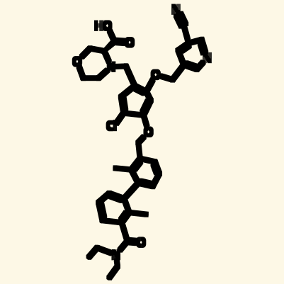 CCN(CC)C(=O)c1cccc(-c2cccc(COc3cc(OCc4cncc(C#N)c4)c(CN4CCOC[C@H]4C(=O)O)cc3Cl)c2C)c1C